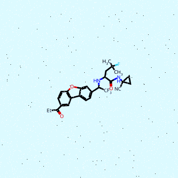 CCC(=O)c1ccc2oc3cc(C(NC(CC(C)(C)F)C(=O)NC4(C#N)CC4)C(F)(F)F)ccc3c2c1